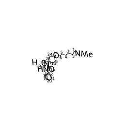 CNCCCCCCO[C@H]1CC[C@H](N(C)C(=O)Nc2ccccc2)CC1